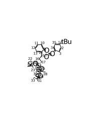 CC(C)(C)c1ccc(OC(=O)Oc2ccccc2CCC[Si](C)(O[Si](C)(C)C)O[Si](C)(C)O[Si](C)(C)C)cc1